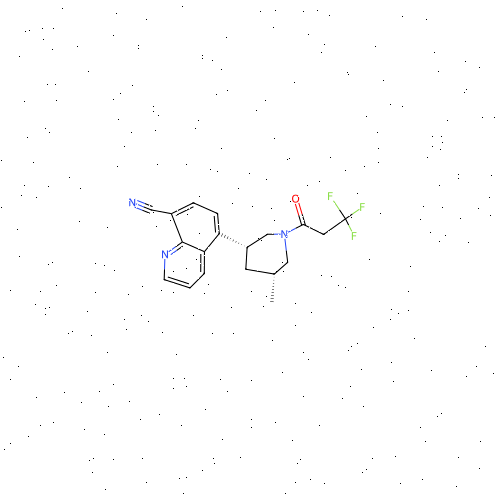 C[C@@H]1C[C@H](c2ccc(C#N)c3ncccc23)CN(C(=O)CC(F)(F)F)C1